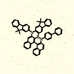 CC1(C)c2ccccc2-c2ccc(N3c4cc5c(cc4B4c6c3cc3ccccc3c6-c3c(ccc6ccccc36)N4c3ccc(-c4ccccc4)cc3)-c3ccccc3C5(C)C)cc21